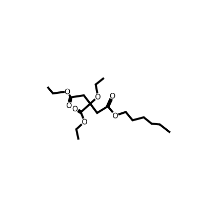 CCCCCCOC(=O)CC(CC(=O)OCC)(OCC)C(=O)OCC